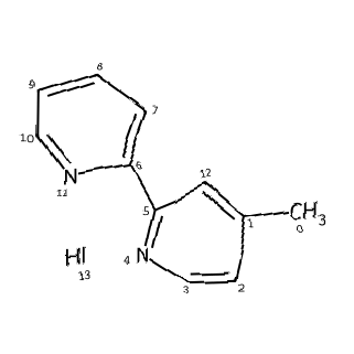 Cc1ccnc(-c2ccccn2)c1.I